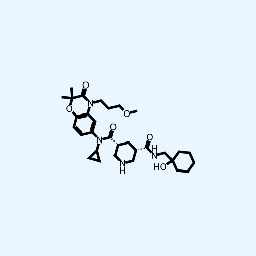 COCCCN1C(=O)C(C)(C)Oc2ccc(N(C(=O)[C@H]3CNC[C@@H](C(=O)NCC4(O)CCCCC4)C3)C3CC3)cc21